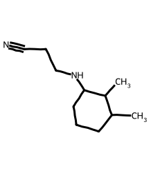 CC1CCCC(NCCC#N)C1C